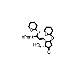 CCCCCC(C=C[C@H]1C(OC2CCCCO2)CC(=O)[C@@H]1CO)OC1CCCCO1